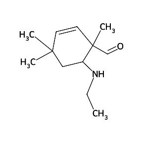 CCNC1CC(C)(C)C=CC1(C)C=O